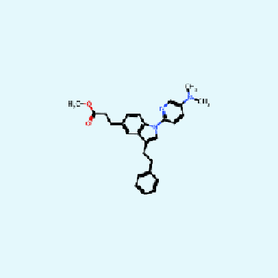 COC(=O)CCc1ccc2c(c1)c(CCc1ccccc1)cn2-c1ccc(N(C)C)cn1